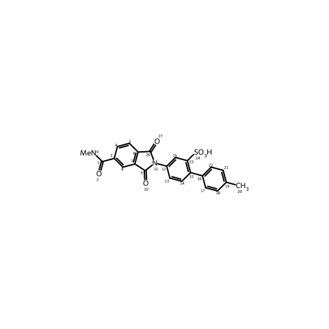 CNC(=O)c1ccc2c(c1)C(=O)N(c1ccc(-c3ccc(C)cc3)c(S(=O)(=O)O)c1)C2=O